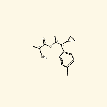 Cc1ccc([C@H](C2CC2)[C@H](C)OC(=O)[C@H](C)N)cc1